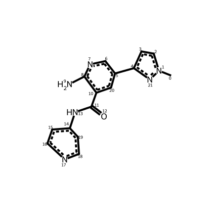 Cn1ccc(-c2cnc(N)c(C(=O)Nc3ccncc3)c2)n1